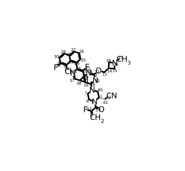 C=C(F)C(=O)N1CCN(C2=NC(OCC3CN(C)C3)=NC34C(F)=C(c5cccc6ccc(F)c(Cl)c56)N=CC3[C@@H]24)C[C@@H]1CC#N